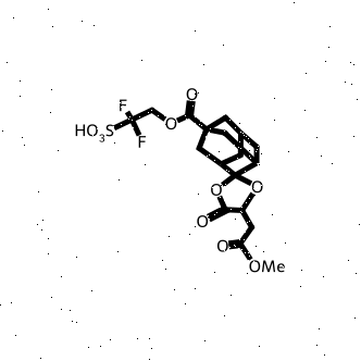 COC(=O)CC1OC2(OC1=O)C1CC3CC2CC(C(=O)OCC(F)(F)S(=O)(=O)O)(C3)C1